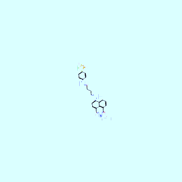 CCCCN1C(=O)c2cccc3c(NCCCC(=O)Nc4ccc(S(=O)(=O)Cl)cc4)ccc(c23)C1=O